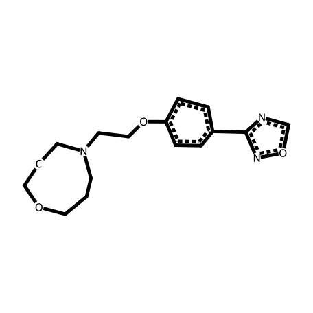 c1nc(-c2ccc(OCCN3CCCOCCC3)cc2)no1